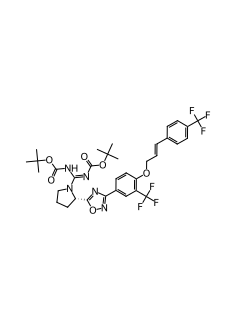 CC(C)(C)OC(=O)/N=C(\NC(=O)OC(C)(C)C)N1CCC[C@H]1c1nc(-c2ccc(OC/C=C/c3ccc(C(F)(F)F)cc3)c(C(F)(F)F)c2)no1